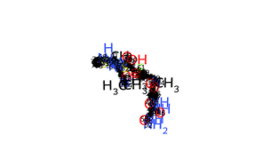 Cc1cc(N(CCCC(O)C[N+](C)(C)C)c2nc(C(=O)O)c(CCCOc3ccc(C#CCN(C)C(=O)OCc4ccc(NC(=O)C(CCCNC(N)=O)NC=O)cc4)cc3F)s2)nnc1Nc1nc2ccccc2s1